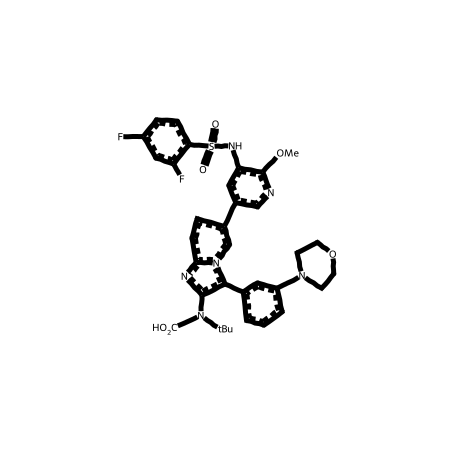 COc1ncc(-c2ccc3nc(N(C(=O)O)C(C)(C)C)c(-c4cccc(N5CCOCC5)c4)n3c2)cc1NS(=O)(=O)c1ccc(F)cc1F